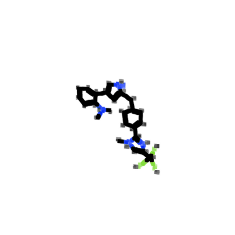 CN(C)c1ccccc1-c1c[nH]c(Cc2ccc(-c3nc(C(F)(F)F)cn3C)cc2)c1